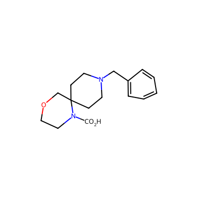 O=C(O)N1CCOCC12CCN(Cc1ccccc1)CC2